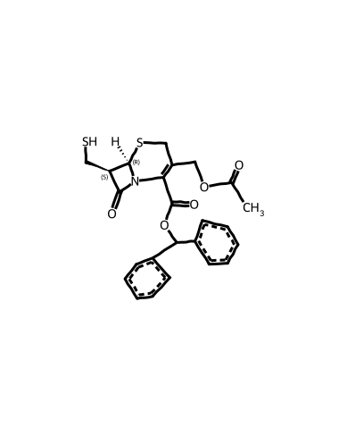 CC(=O)OCC1=C(C(=O)OC(c2ccccc2)c2ccccc2)N2C(=O)[C@@H](CS)[C@H]2SC1